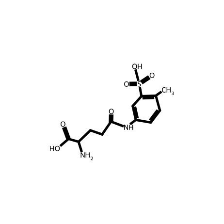 Cc1ccc(NC(=O)CCC(N)C(=O)O)cc1S(=O)(=O)O